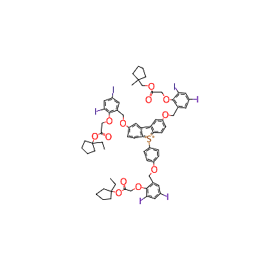 CCC1(OC(=O)COc2c(I)cc(I)cc2COc2ccc(-[s+]3c4ccc(OCc5cc(I)cc(I)c5OCC(=O)OCC5(C)CCCC5)cc4c4cc(OCc5cc(I)cc(I)c5OCC(=O)OC5(CC)CCCC5)ccc43)cc2)CCCC1